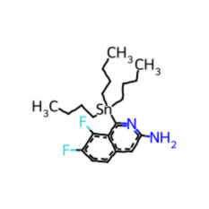 CCC[CH2][Sn]([CH2]CCC)([CH2]CCC)[c]1nc(N)cc2ccc(F)c(F)c12